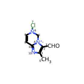 CC1=C(C=O)[N+]2CN(Cl)C=CC2=N1